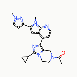 CC(=O)N1CCn2c(C3CC3)nc(-c3ccnc4c3cc(-c3ccn(C)n3)n4C)c2C1